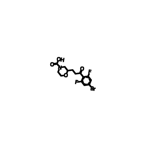 O=C(CCC1CN(C(=O)O)CCO1)c1c(F)cc(Br)cc1F